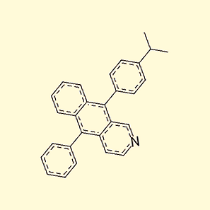 CC(C)c1ccc(-c2c3ccccc3c(-c3ccccc3)c3ccncc23)cc1